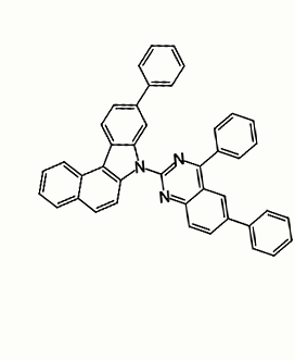 c1ccc(-c2ccc3nc(-n4c5cc(-c6ccccc6)ccc5c5c6ccccc6ccc54)nc(-c4ccccc4)c3c2)cc1